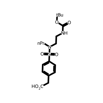 CCCN(CCNC(=O)OC(C)(C)C)S(=O)(=O)c1ccc(CC(=O)O)cc1